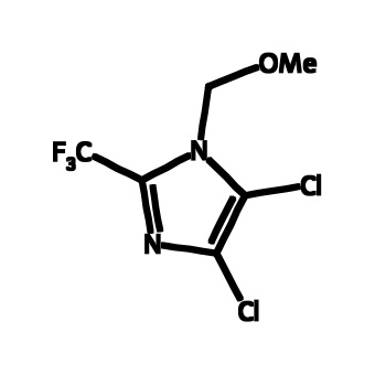 COCn1c(C(F)(F)F)nc(Cl)c1Cl